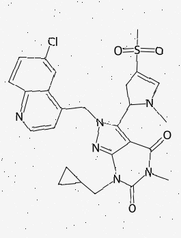 CN1C=C(S(C)(=O)=O)CC1c1c2c(=O)n(C)c(=O)n(CC3CC3)c2nn1Cc1ccnc2ccc(Cl)cc12